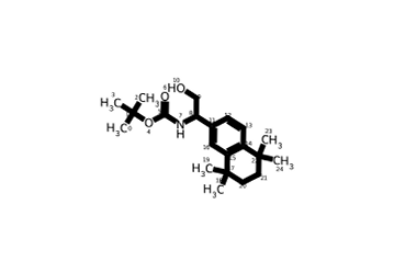 CC(C)(C)OC(=O)NC(CO)c1ccc2c(c1)C(C)(C)CCC2(C)C